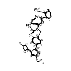 CC(C)c1ncccc1-c1ncc2[nH]c(=O)n(Cc3ccc(-c4nc(C(F)(F)F)cn4C4CN(C)C4)cc3)c2n1